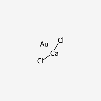 [Au].[Cl][Ca][Cl]